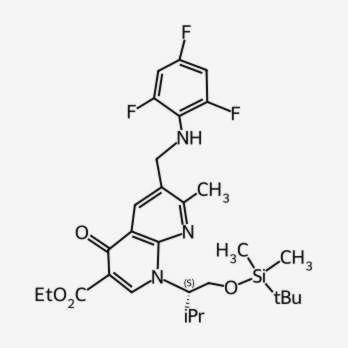 CCOC(=O)c1cn([C@H](CO[Si](C)(C)C(C)(C)C)C(C)C)c2nc(C)c(CNc3c(F)cc(F)cc3F)cc2c1=O